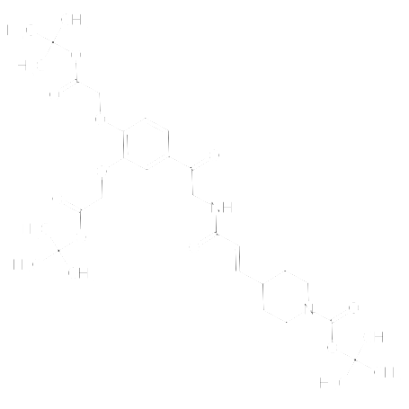 CC(C)(C)OC(=O)COc1ccc(C(=O)CNC(=O)C=CC2CCN(C(=O)OC(C)(C)C)CC2)cc1OCC(=O)OC(C)(C)C